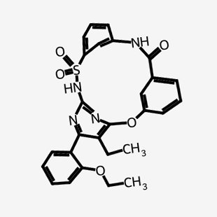 CCOc1ccccc1-c1nc2nc(c1CC)Oc1cccc(c1)C(=O)Nc1cccc(c1)S(=O)(=O)N2